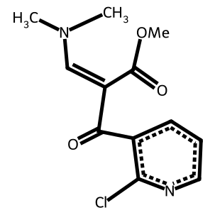 COC(=O)/C(=C\N(C)C)C(=O)c1cccnc1Cl